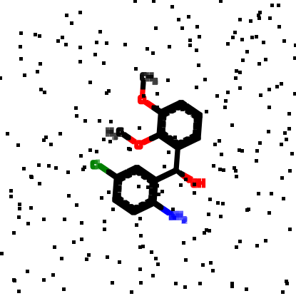 COc1cccc([C@@H](O)c2cc(Cl)ccc2N)c1OC